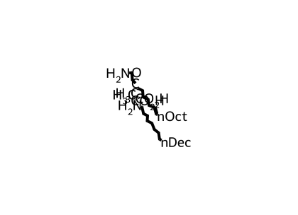 CC(=O)O.CC(=O)O.CCCCCCCCC=CCCCCCCCC(N)=O.CCCCCCCCCCCCCCCCCCN